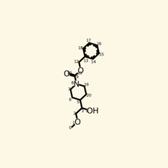 COCC(O)C1CCN(C(=O)OCc2ccccc2)CC1